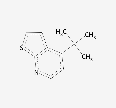 CC(C)(C)c1ccnc2sccc12